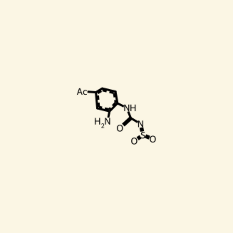 CC(=O)c1ccc(NC(=O)N=S(=O)=O)c(N)c1